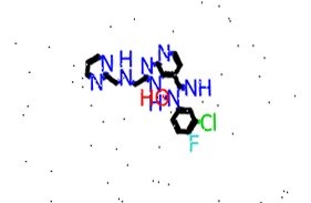 N=C(c1ccnc2nc(CNCc3ncccn3)[nH]c12)N(O)c1ccc(F)c(Cl)c1